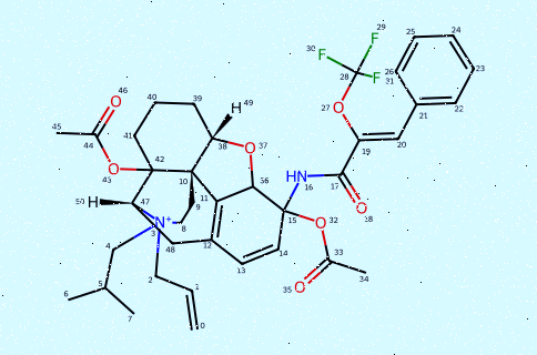 C=CC[N+]1(CC(C)C)CC[C@]23C4=C5C=CC(NC(=O)C(=Cc6ccccc6)OC(F)(F)F)(OC(C)=O)C4O[C@H]2CCCC3(OC(C)=O)[C@H]1C5